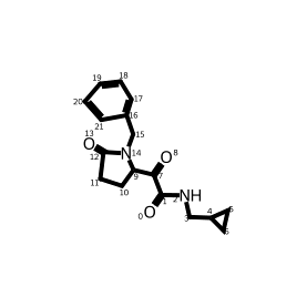 O=C(NCC1CC1)C(=O)C1CCC(=O)N1Cc1ccccc1